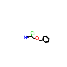 N#CC(Cl)COCc1ccccc1